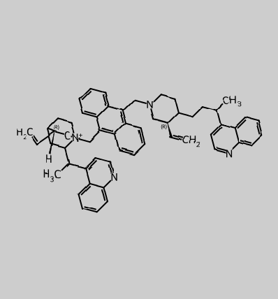 C=C[C@H]1CN(Cc2c3ccccc3c(C[N+]34CCC(CC3C(C)c3ccnc5ccccc35)[C@@H](C=C)C4)c3ccccc23)CCC1CCC(C)c1ccnc2ccccc12